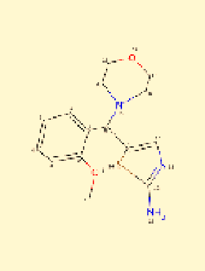 COc1ccccc1C(c1cnc(N)s1)N1CCOCC1